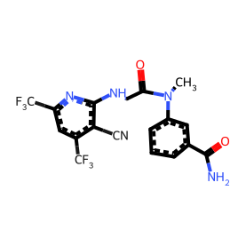 CN(C(=O)CNc1nc(C(F)(F)F)cc(C(F)(F)F)c1C#N)c1cccc(C(N)=O)c1